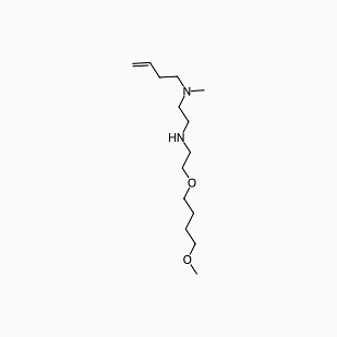 C=CCCN(C)CCNCCOCCCCOC